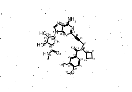 CNC(=O)[C@H]1O[C@@H](n2cnc3c(N)nc(C#CCN(C(=O)c4ccc(OC)c(F)c4)C4CCC4)nc32)[C@H](O)C1O